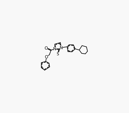 O=C(COc1ccccc1)n1ccn(-c2ccc(C3CCCCC3)cc2)c1=S